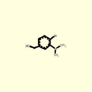 CN(C)c1cc(CC#N)ccc1Br